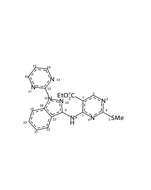 CCOC(=O)c1cnc(SC)nc1Nc1nn(-c2ncccn2)c2ccccc12